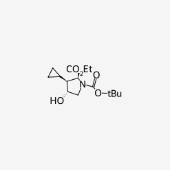 CCOC(=O)[C@@H]1[C@H](C2CC2)[C@@H](O)CN1C(=O)OC(C)(C)C